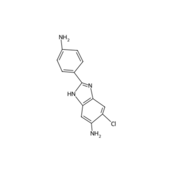 Nc1ccc(-c2nc3cc(Cl)c(N)cc3[nH]2)cc1